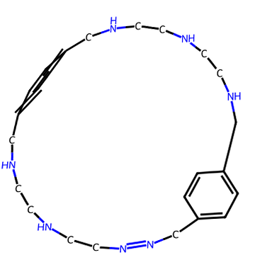 c1cc2ccc1CN=NCCNCCNCc1ccc(cc1)CNCCNCCNC2